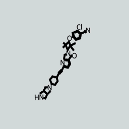 CC1(C)[C@H](Oc2ccc(C#N)c(Cl)c2)C(C)(C)[C@H]1N1Cc2nc(C#CC3CCC(N4CC5CNCC5C4)CC3)ccc2C1=O